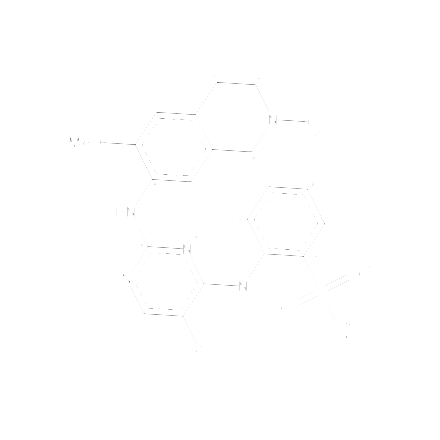 COc1cc2c(cc1Nc1ncc(Cl)c(Nc3ccccc3S(=O)(=O)C(C)C)n1)CN(C)CC2